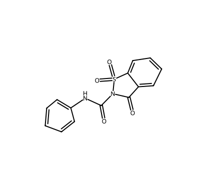 O=C(Nc1ccccc1)N1C(=O)c2ccccc2S1(=O)=O